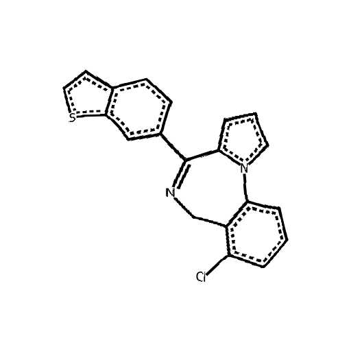 Clc1cccc2c1CN=C(c1ccc3ccsc3c1)c1cccn1-2